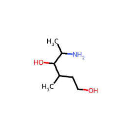 CC(N)C(O)C(C)CCO